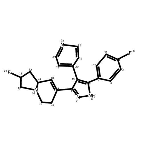 Fc1ccc(-c2[nH]nc(C3=CC4CC(F)CN4CC3)c2-c2ccncc2)cc1